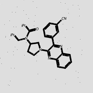 CC(C)CN(C(=O)C(C)C)C1CCN(c2nc3ccccc3nc2-c2cccc(C#N)c2)C1